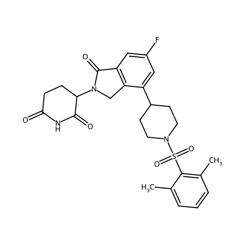 Cc1cccc(C)c1S(=O)(=O)N1CCC(c2cc(F)cc3c2CN(C2CCC(=O)NC2=O)C3=O)CC1